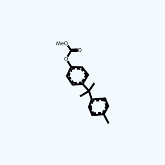 COC(=O)Oc1ccc(C(C)(C)c2ccc(C)cc2)cc1